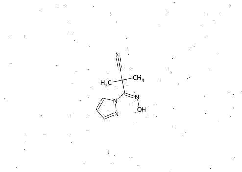 CC(C)(C#N)/C(=N/O)n1cccn1